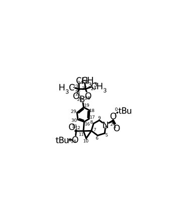 CC(C)(C)OC(=O)N1CCC2(CC1)CC2(C(=O)OC(C)(C)C)c1ccc(B2OC(C)(C)C(C)(C)O2)cc1